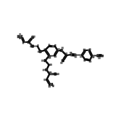 C=CC(=O)OCOc1ccc(OC(=O)C#Cc2ccc(OC)cc2)cc1OCOC(=O)C=C